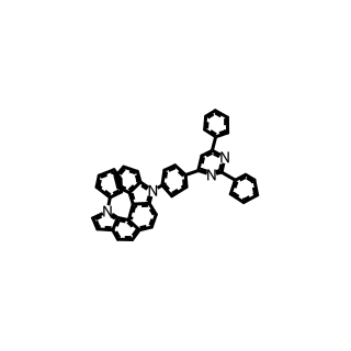 c1ccc(-c2cc(-c3ccc(-n4c5ccccc5c5c6c(ccc7ccn(-c8ccccc8)c76)ccc54)cc3)nc(-c3ccccc3)n2)cc1